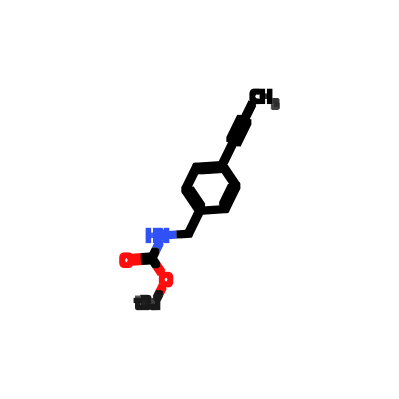 CC#Cc1ccc(CNC(=O)OC(C)(C)C)cc1